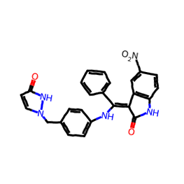 O=C1Nc2ccc([N+](=O)[O-])cc2C1=C(Nc1ccc(Cn2ccc(=O)[nH]2)cc1)c1ccccc1